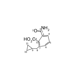 NC(=O)c1cccc(CC2CC2)c1C(=O)O